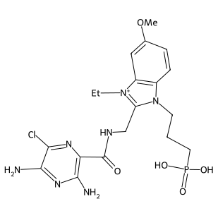 CC[n+]1c(CNC(=O)c2nc(Cl)c(N)nc2N)n(CCCP(=O)(O)O)c2ccc(OC)cc21